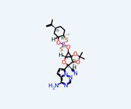 C=C(C)[C@H]1CC[C@@]2(C)S[P@@](=S)(OC3[C@H]4O[C@@](C#N)(c5ccc6c(N)ncnn56)[C@@H]5OC(C)(C)O[C@]345)O[C@@H]2C1